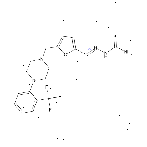 NC(=S)N/N=C/c1ccc(CN2CCN(c3ccccc3C(F)(F)F)CC2)o1